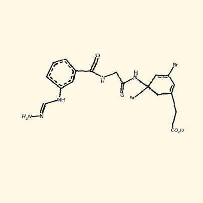 NN=CNc1cccc(C(=O)NCC(=O)NC2(Br)C=C(Br)C=C(CCC(=O)O)C2)c1